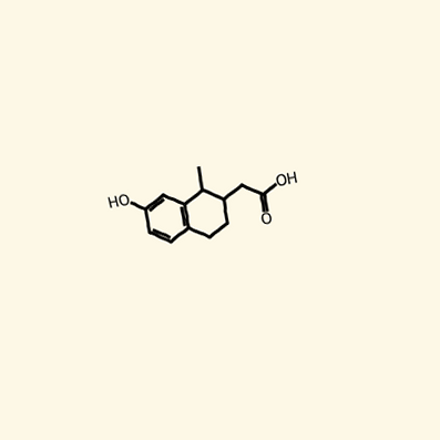 CC1c2cc(O)ccc2CCC1CC(=O)O